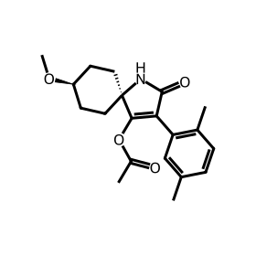 CO[C@H]1CC[C@]2(CC1)NC(=O)C(c1cc(C)ccc1C)=C2OC(C)=O